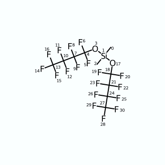 C[Si](C)(OC(F)(F)C(F)(F)C(F)(F)C(F)(F)F)OC(F)(F)C(F)(F)C(F)(F)C(F)(F)F